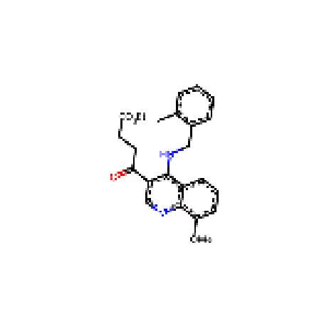 CCOC(=O)CCC(=O)c1cnc2c(OC)cccc2c1NCc1ccccc1C